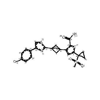 CS(=O)(=O)C1(c2cc(C34CC(c5nc(-c6ccc(Cl)cc6)cs5)(C3)C4)c(C(N)=O)o2)CC1